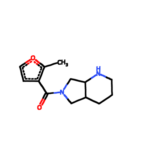 Cc1occc1C(=O)N1CC2CCCNC2C1